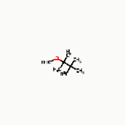 CCCC(C)(C)C(C)(C)O[C]=O